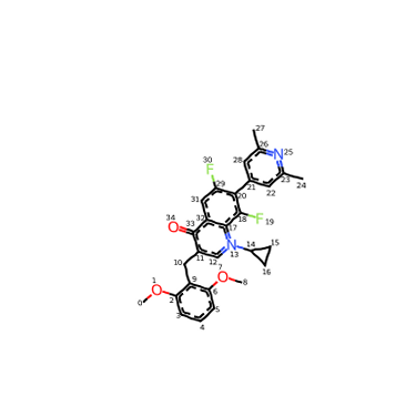 COc1cccc(OC)c1Cc1cn(C2CC2)c2c(F)c(-c3cc(C)nc(C)c3)c(F)cc2c1=O